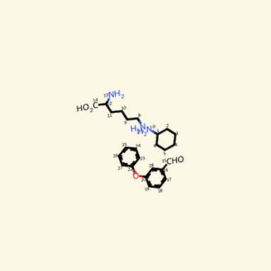 NC1CCCCC1.NCCCCC(N)C(=O)O.O=Cc1cccc(Oc2ccccc2)c1